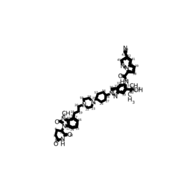 Cn1c(=O)n(C2CCC(=O)NC2=O)c2cccc(CCCN3CCN(C4CCC(n5cc6cc(NC(=O)c7ccc8cc(C#N)cnn78)c(C(C)(C)O)cc6n5)CC4)CC3)c21